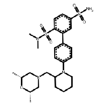 C[C@@H]1CN(CC2CCCCN2c2ccc(-c3cc(S(N)(=O)=O)ccc3S(=O)(=O)N(C)C)cc2)C[C@H](C)O1